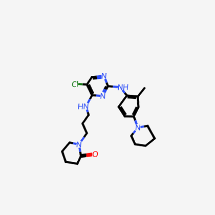 Cc1cc(N2CCCCC2)ccc1Nc1ncc(Cl)c(NCCCN2CCCCC2=O)n1